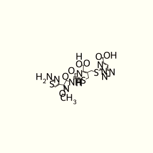 CON=C(C(=O)N[C@@H]1C(=O)N2C(C(=O)O)=C(CSc3nc(C(=O)O)cc4ncnn34)CS[C@H]12)c1csc(N)n1